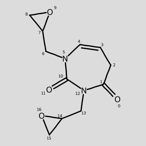 O=C1CC=CN(CC2CO2)C(=O)N1CC1CO1